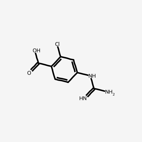 N=C(N)Nc1ccc(C(=O)O)c(Cl)c1